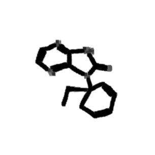 CC[C@@]1(n2c(=O)[nH]c3nccnc32)C=CC=CC1